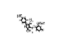 COc1cc(F)ccc1OCc1c(C)nn(-c2ccc(C#N)cc2)c1C